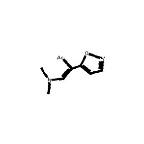 CC(=O)C(=CN(C)C)c1ccno1